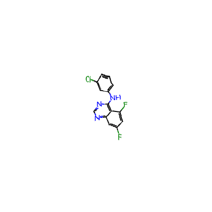 Fc1cc(F)c2c(Nc3cccc(Cl)c3)ncnc2c1